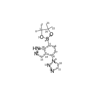 CC1(C)OB(c2ccc(-n3ccnn3)c3cn[nH]c23)OC1(C)C